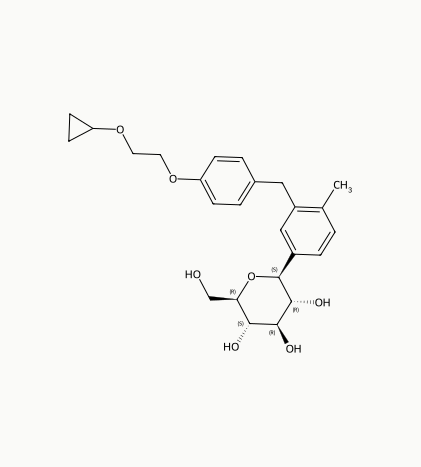 Cc1ccc([C@@H]2O[C@H](CO)[C@@H](O)[C@H](O)[C@H]2O)cc1Cc1ccc(OCCOC2CC2)cc1